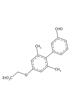 CCOC(=O)COc1cc(C)c(-c2cccc(C=O)c2)c(C)c1